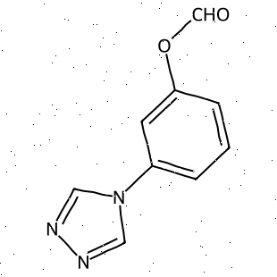 O=COc1cccc(-n2cnnc2)c1